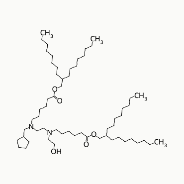 CCCCCCCCC(CCCCCCCC)COC(=O)CCCCCN(CCO)CCN(CCCCCC(=O)OCC(CCCCCCCC)CCCCCCCC)CC1CCCC1